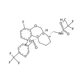 CC(F)(F)S(=O)(=O)NC[C@@H]1CCC[C@@]2(S(=O)(=O)c3ccc(C(F)(F)F)cc3)c3c(F)ccc(F)c3OC[C@@H]12